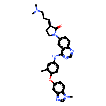 Cc1cc(Nc2ncnc3ccc(N4CC/C(=C\CCN(C)C)C4=O)cc23)ccc1Oc1ccc2c(c1)ncn2C